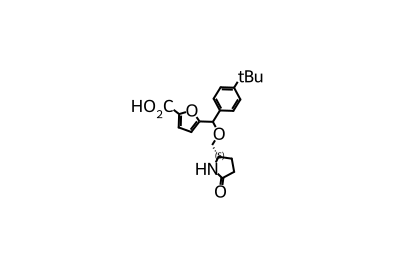 CC(C)(C)c1ccc(C(OC[C@@H]2CCC(=O)N2)c2ccc(C(=O)O)o2)cc1